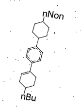 CCCCCCCCCC1CCC(c2ccc(C3=CCC(CCCC)CC3)cc2)CC1